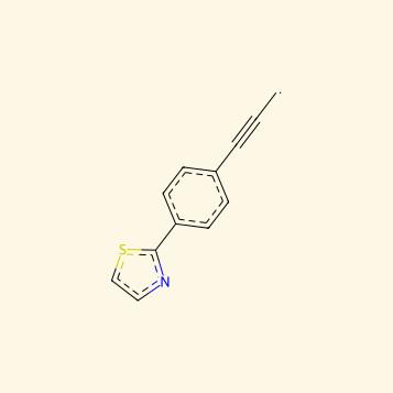 [CH2]C#Cc1ccc(-c2nccs2)cc1